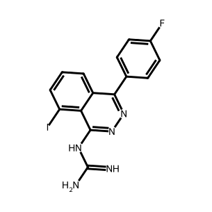 N=C(N)Nc1nnc(-c2ccc(F)cc2)c2cccc(I)c12